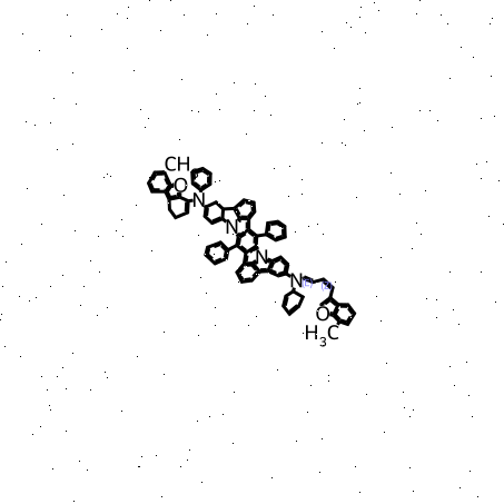 Cc1cccc2c(/C=C\C=C\N(c3ccc4c(c3)c3cccc5c6c(-c7ccccc7)c7c(c(-c8ccccc8)c6n4c35)c3cccc4c3n7C3=CC=C(N(C5=CCCc6c5oc5c(C)cccc65)c5ccccc5)CC34)C3C=CC=CC3)coc12